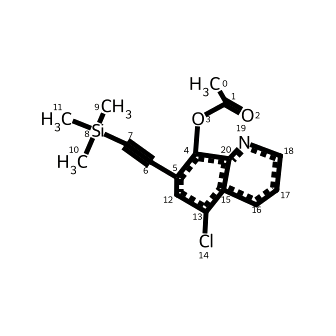 CC(=O)Oc1c(C#C[Si](C)(C)C)cc(Cl)c2cccnc12